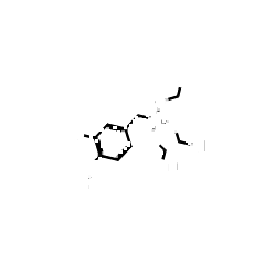 CCO[Si](Cc1ccc(OC)c(C)c1)(OCC)OCC